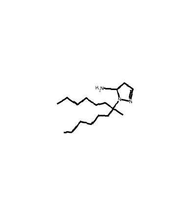 CCCCCCC(C)(CCCCCC)N1N=CCC1N